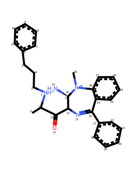 CC(NCCCc1ccccc1)C(=O)C1N=C(c2ccccc2)c2ccccc2N(C)[C@@H]1N